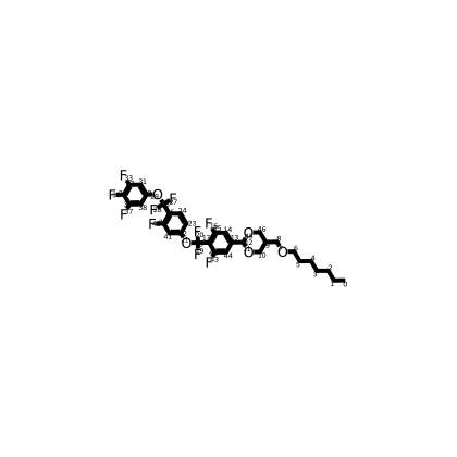 CCCCCCCOCC1COC(c2cc(F)c(C(F)(F)Oc3ccc(C(F)(F)Oc4cc(F)c(F)c(F)c4)c(F)c3)c(F)c2)OC1